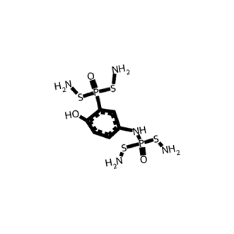 NSP(=O)(Nc1ccc(O)c(P(=O)(SN)SN)c1)SN